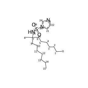 CCCCCCCC(C)(CCCCCCC)NS(=O)(=O)n1ccnc1